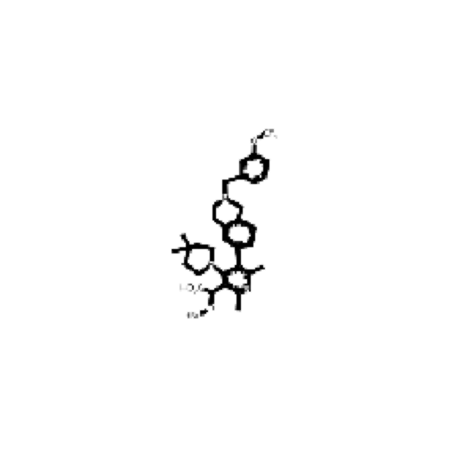 Cc1nc(C)c(C(OC(C)(C)C)C(=O)O)c(N2CCC(C)(C)CC2)c1-c1ccc2c(c1)CCN(Cc1cccc(OC(F)(F)F)c1)C2